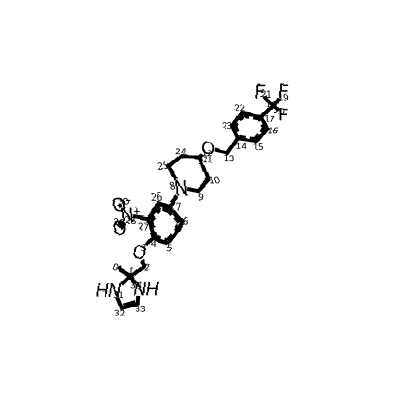 CC1(COc2ccc(N3CCC(OCc4ccc(C(F)(F)F)cc4)CC3)cc2[N+](=O)[O-])NC=CN1